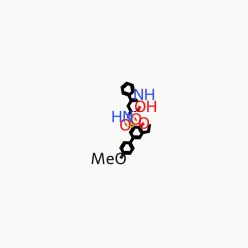 COc1ccc(-c2cc3c(c(S(=O)(=O)N[C@@H](CO)Cc4c[nH]c5ccccc45)c2)OCC3)cc1